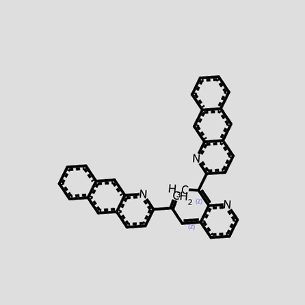 C=C(/C=c1/cccn/c1=C(/C)c1ccc2cc3ccccc3cc2n1)c1ccc2cc3ccccc3cc2n1